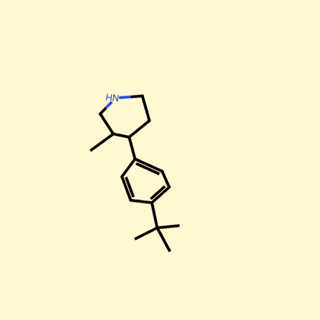 CC1CNCCC1c1ccc(C(C)(C)C)cc1